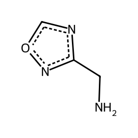 NCc1ncon1